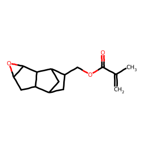 C=C(C)C(=O)OCC1CC2CC1C1C2CC2OC21